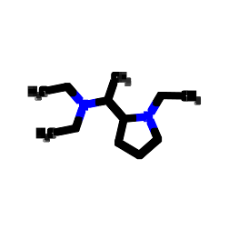 CCN(CC)C(C)C1CCCN1CC